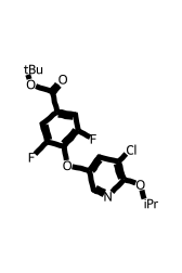 CC(C)Oc1ncc(Oc2c(F)cc(C(=O)OC(C)(C)C)cc2F)cc1Cl